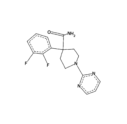 NC(=O)C1(c2cccc(F)c2F)CCN(c2ncccn2)CC1